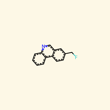 FCc1ccc2c(cnc3ccccc32)c1